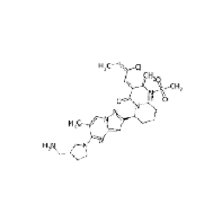 C=C(NS(C)(=O)=O)/C(=C\C(Cl)=C/C)C(=O)N1CCCC[C@H]1c1cc2nc(N3CC[C@H](CN)C3)c(C)cn2n1